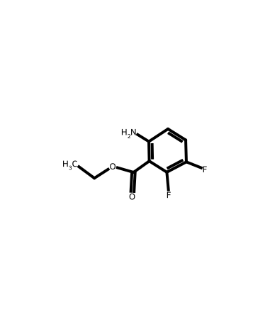 CCOC(=O)c1c(N)ccc(F)c1F